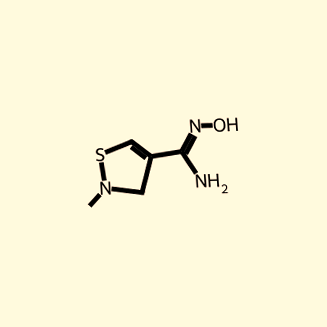 CN1CC(C(N)=NO)=CS1